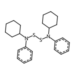 c1ccc(N(SSN(c2ccccc2)C2CCCCC2)C2CCCCC2)cc1